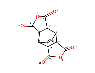 O=C1OC(=O)C2C3C=CC(C12)C1C(=O)OC(=O)C31